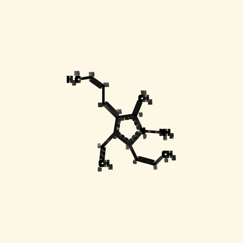 C=Cc1c(/C=C\C)n(N)c(=C)/c1=C\C=C/C